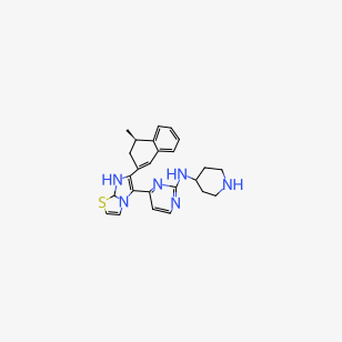 C[C@@H]1CC(C2=C(c3ccnc(NC4CCNCC4)n3)N3C=CSC3N2)=Cc2ccccc21